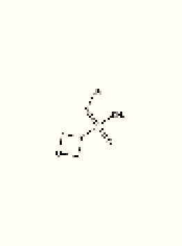 CC(C)N=S(C)(=O)C1COC1